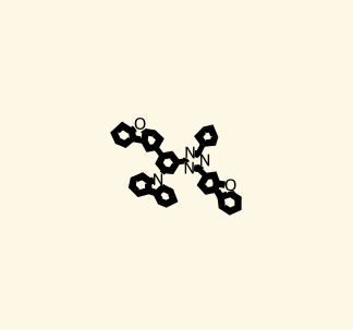 c1ccc(-c2nc(-c3cc(-c4ccc5oc6ccccc6c5c4)cc(-n4c5ccccc5c5ccccc54)c3)nc(-c3ccc4c(c3)oc3ccccc34)n2)cc1